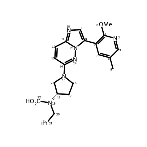 COc1ncc(C)cc1-c1cnc2ccc(N3CC[C@H](N(CC(C)C)C(=O)O)C3)nn12